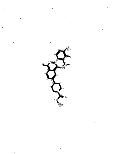 Cc1c([C@@H](C)Nc2nnc(C)c3ccc(C4CCN(C(=O)OC(C)(C)C)CC4)cc23)cccc1C(F)(F)F